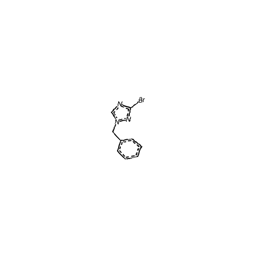 Brc1ncn(Cc2ccccc2)n1